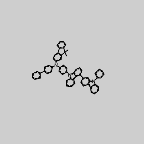 CC1(C)c2ccccc2-c2ccc(N(c3ccc(-c4ccccc4)cc3)c3ccc(-n4c5ccccc5c5c(-c6ccc7c8ccccc8n(-c8ccccc8)c7c6)cccc54)cc3)cc21